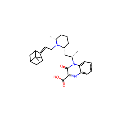 C[C@@H]1CCC[C@H](C[C@H](C)n2c(=O)c(C(=O)O)nc3ccccc32)N1C/C=C1\CCC2CC1C2(C)C